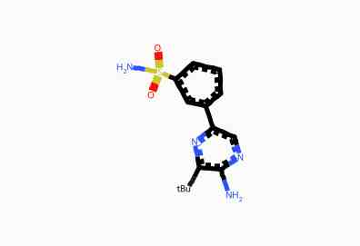 CC(C)(C)c1nc(-c2cccc(S(N)(=O)=O)c2)cnc1N